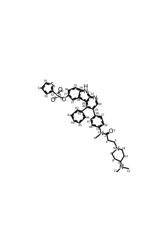 CN(C(=O)CCN1CCC(N(C)C)CC1)c1ccc(-c2cnc3[nH]c4ccc(OS(=O)(=O)c5cccs5)cc4c3c2-c2ccccc2)cc1